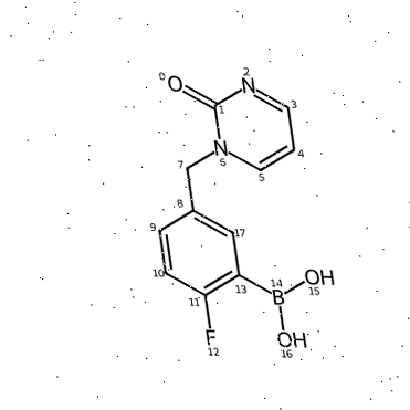 O=c1ncccn1Cc1ccc(F)c(B(O)O)c1